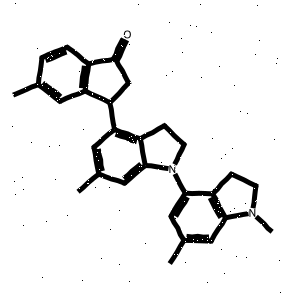 Cc1ccc2c(c1)C(c1cc(C)cc3c1CCN3c1cc(C)cc3c1CCN3C)CC2=O